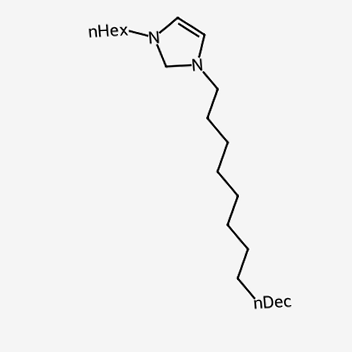 CCCCCCCCCCCCCCCCCCN1C=CN(CCCCCC)C1